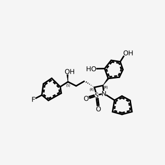 O=S1(=O)[C@H](CC[C@H](O)c2ccc(F)cc2)[C@@H](c2ccc(O)cc2O)N1c1ccccc1